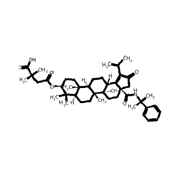 CC(C)C1=C2[C@H]3CC[C@@H]4[C@@]5(C)CC[C@H](OC(=O)CC(C)(C)C(=O)O)C(C)(C)[C@@H]5CC[C@@]4(C)[C@]3(C)CC[C@@]2(C(=O)NC(C)(C)c2ccccc2)CC1=O